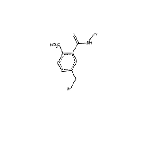 CC(C)Cc1ccc(C(=O)O)c(C(=O)NC(C)C)c1